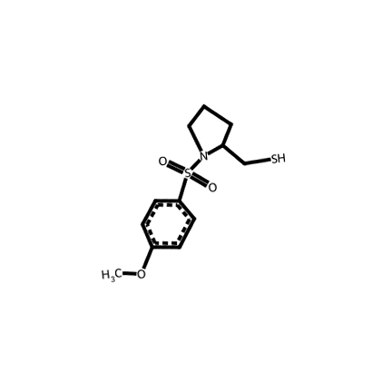 COc1ccc(S(=O)(=O)N2CCCC2CS)cc1